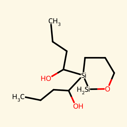 CCCC(O)[Si]1(C(O)CCC)CCCO[SiH2]1